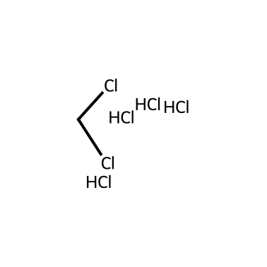 Cl.Cl.Cl.Cl.ClCCl